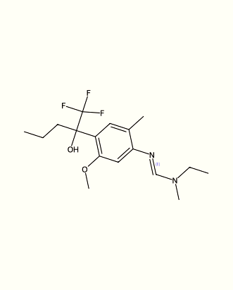 CCCC(O)(c1cc(C)c(/N=C/N(C)CC)cc1OC)C(F)(F)F